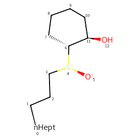 CCCCCCCCCC[S@+]([O-])[C@@H]1CCCC[C@H]1O